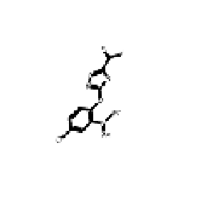 CC(=O)N(c1cc(Cl)ccc1Oc1nnc(C(F)F)s1)C(C)C